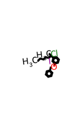 CCCCCC(I)C(C)(Cl)c1cccc(OCc2ccccc2)c1